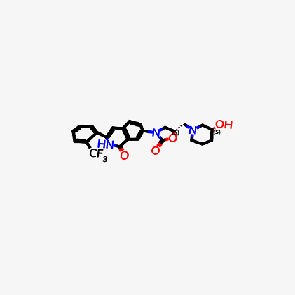 O=C1O[C@@H](CN2CCC[C@H](O)C2)CN1c1ccc2cc(-c3ccccc3C(F)(F)F)[nH]c(=O)c2c1